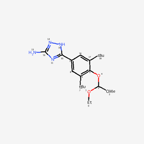 CCOC(OC)Oc1c(C(C)(C)C)cc(-c2nc(N)n[nH]2)cc1C(C)(C)C